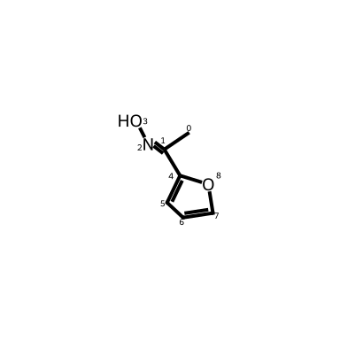 CC(=NO)c1ccco1